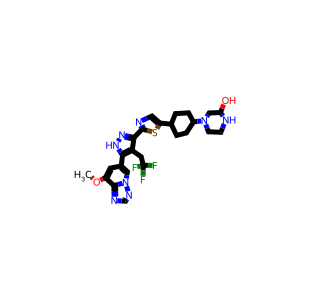 COc1cc(-c2[nH]nc(-c3ncc(C4CCC(N5CCNC(O)C5)CC4)s3)c2CC(F)(F)F)cn2ncnc12